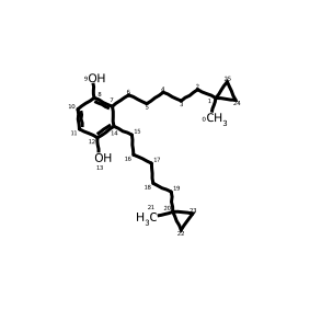 CC1(CCCCCc2c(O)ccc(O)c2CCCCCC2(C)CC2)CC1